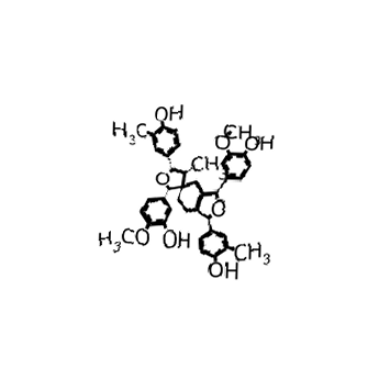 COc1ccc([C@@H]2O[C@H](c3ccc(O)c(C)c3)[C@H](C)[C@@]23CCC2=C(C3)[C@@H](c3ccc(O)c(OC)c3)O[C@H]2c2ccc(O)c(C)c2)cc1O